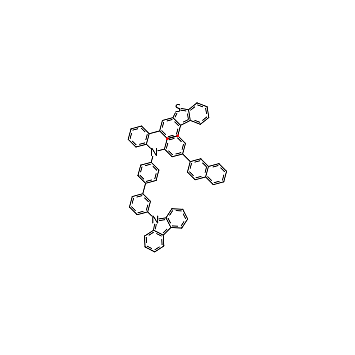 c1cc(-c2ccc3ccccc3c2)cc(N(c2ccc(-c3cccc(-n4c5ccccc5c5ccccc54)c3)cc2)c2ccccc2-c2ccc3c(c2)sc2ccccc23)c1